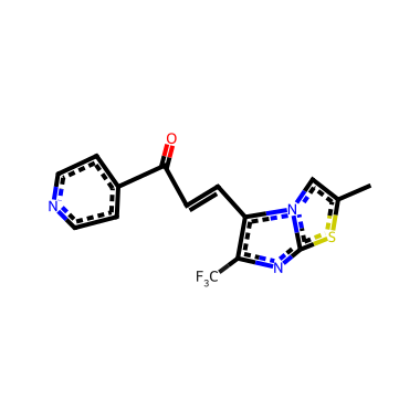 Cc1cn2c(/C=C/C(=O)c3ccncc3)c(C(F)(F)F)nc2s1